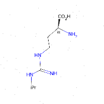 CC(C)NC(=N)NCC[C@H](N)C(=O)O